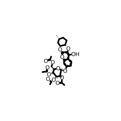 CC(=O)OC[C@H]1O[C@@H](Oc2ccc3c(O)c(O[C@H]4CC[C@@H](C)CC4)c(=O)oc3c2)[C@H](OC(C)=O)[C@@H](OC(C)=O)[C@@H]1OC(C)=O